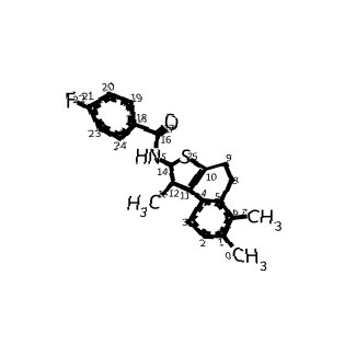 Cc1ccc2c(c1C)CCC1=C2C(C)C(NC(=O)c2ccc(F)cc2)S1